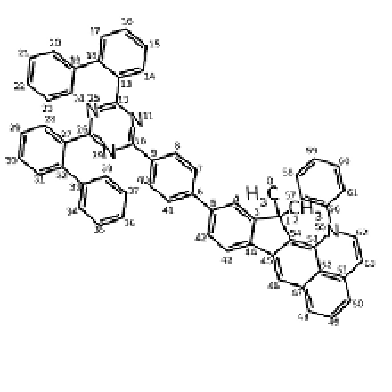 CC1(C)c2cc(-c3ccc(-c4nc(-c5ccccc5-c5ccccc5)nc(-c5ccccc5-c5ccccc5)n4)cc3)ccc2-c2cc3cccc4c3c(c21)N(c1ccccc1)C=C4